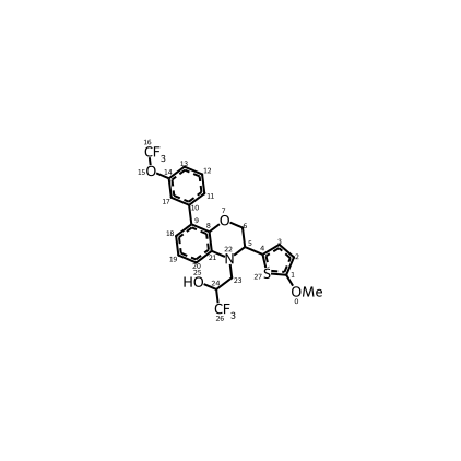 COc1ccc(C2COc3c(-c4cccc(OC(F)(F)F)c4)cccc3N2CC(O)C(F)(F)F)s1